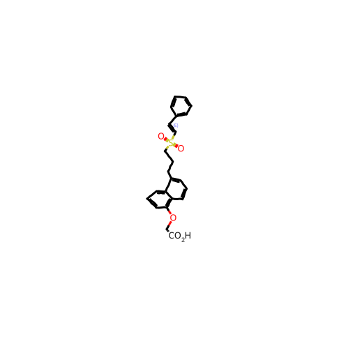 O=C(O)COc1cccc2c(CCCS(=O)(=O)/C=C/c3ccccc3)cccc12